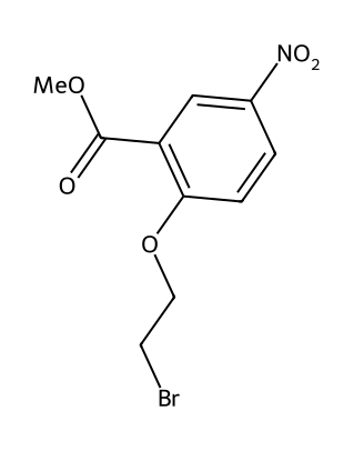 COC(=O)c1cc([N+](=O)[O-])ccc1OCCBr